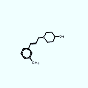 COc1cccc(C=CCN2CCC(O)CC2)c1